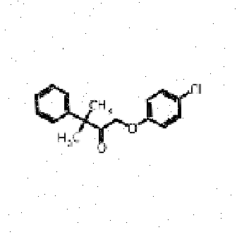 CC(C)(C(=O)COc1ccc(Cl)cc1)c1ccccc1